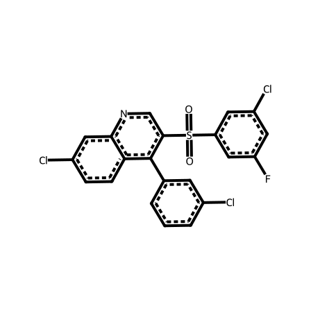 O=S(=O)(c1cc(F)cc(Cl)c1)c1cnc2cc(Cl)ccc2c1-c1cccc(Cl)c1